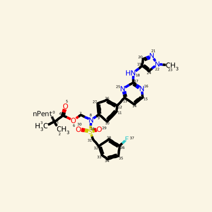 CCCCCC(C)(C)C(=O)OCN(c1ccc(-c2ccnc(Nc3cnn(C)c3)n2)cc1)S(=O)(=O)Cc1cccc(F)c1